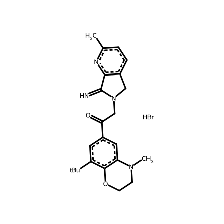 Br.Cc1ccc2c(n1)C(=N)N(CC(=O)c1cc3c(c(C(C)(C)C)c1)OCCN3C)C2